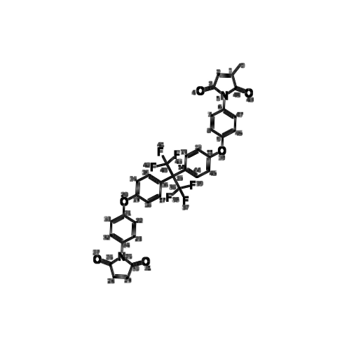 CC1=CC(=O)N(c2ccc(Oc3ccc(C(c4ccc(Oc5ccc(N6C(=O)C=CC6=O)cc5)cc4)(C(F)(F)F)C(F)(F)F)cc3)cc2)C1=O